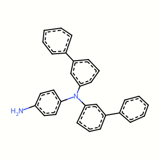 Nc1ccc(N(c2cccc(-c3ccccc3)c2)c2cccc(-c3ccccc3)c2)cc1